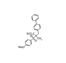 CCOC(=O)C(C)(Cc1ccc(-c2ccccc2)cc1)S(=O)(=O)c1ccc(OC)cc1